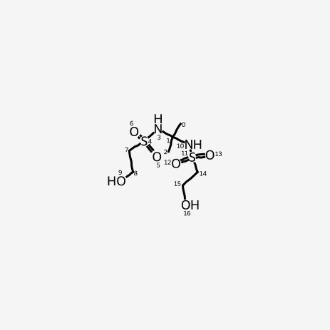 CC(C)(NS(=O)(=O)CCO)NS(=O)(=O)CCO